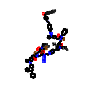 COC(=O)c1ccc(/C=C/c2ccc(N3c4ccc(/C=C5\C(=O)N(c6ccccc6)C(=S)N5CCB(C)OC(C)[n+]5ccc(-c6cc[n+](CCNC(=O)Cn7c(=O)/c(=C\c8ccc9c(c8)C8CCCC8N9c8ccc(C=C(c9ccccc9)c9ccccc9)cc8)s/c7=C7/SC(=S)N(C)C7=O)cc6)cc5)cc4C4CCCC43)cc2)cc1